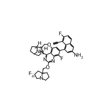 C#Cc1c(F)ccc2cc(N)cc(-c3cc4c5c(nc(OC[C@@]67CCCN6C[C@H](F)C7)nc5c3F)N3CC5CC[C@@H](N5)[C@H]3CO4)c12